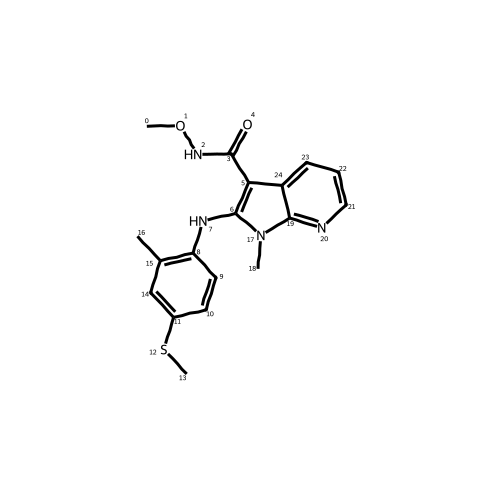 CONC(=O)c1c(Nc2ccc(SC)cc2C)n(C)c2ncccc12